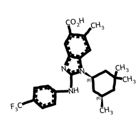 Cc1cc2c(cc1C(=O)O)nc(Nc1ccc(C(F)(F)F)cc1)n2[C@@H]1C[C@H](C)CC(C)(C)C1